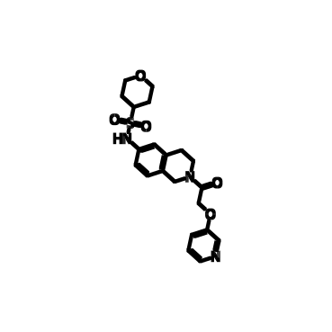 O=C(COc1cccnc1)N1CCc2cc(NS(=O)(=O)C3CCOCC3)ccc2C1